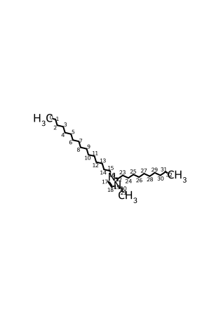 CCCCCCCCCCCCCCCCN1C=CN(CC)C1CCCCCCCCCC